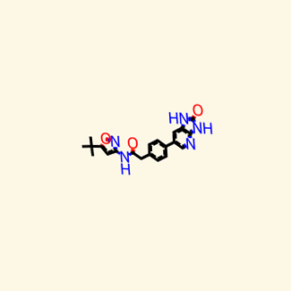 CC(C)(C)c1cc(NC(=O)Cc2ccc(-c3cnc4[nH]c(=O)[nH]c4c3)cc2)no1